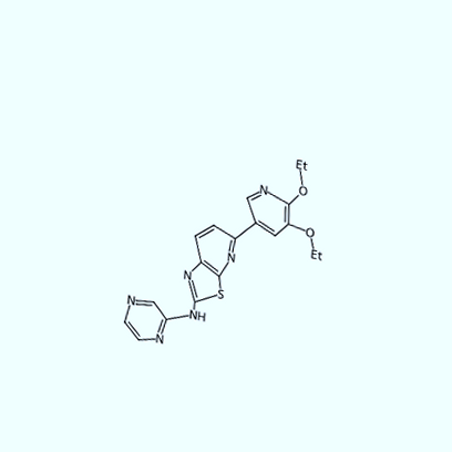 CCOc1cc(-c2ccc3nc(Nc4cnccn4)sc3n2)cnc1OCC